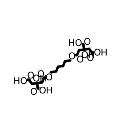 O=C(O)CC(O)(CC(=O)OCCCCCCOC(=O)CC(O)(CC(=O)O)C(=O)O)C(=O)O